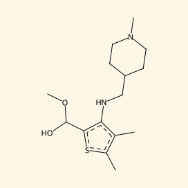 COC(O)c1sc(C)c(C)c1NCC1CCN(C)CC1